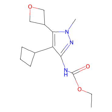 CCOC(=O)Nc1nn(C)c(C2COC2)c1C1CCC1